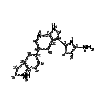 Nc1nc(-c2c[nH]c3ncc(-c4ccc5[nH]ccc5c4)cc23)cs1